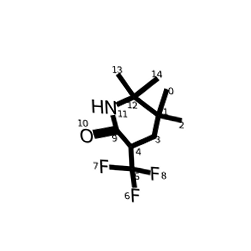 CC1(C)CC(C(F)(F)F)C(=O)NC1(C)C